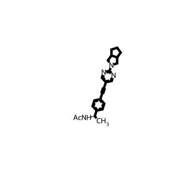 CC(=O)N[C@@H](C)c1ccc(C#Cc2cnc(N3CC4CCCC4C3)nc2)cc1